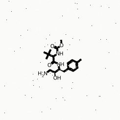 COC(=O)NC(C(=O)N[C@@H](Cc1ccc(C)cc1)[C@@H](O)CN)C(C)(C)C